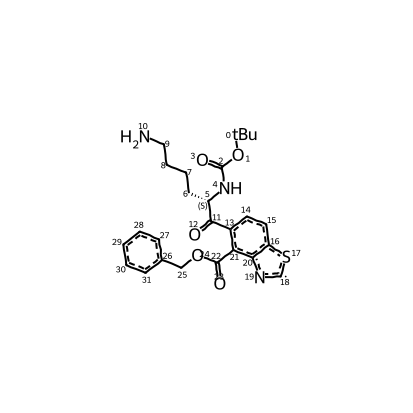 CC(C)(C)OC(=O)N[C@@H](CCCCN)C(=O)c1ccc2s[c]nc2c1C(=O)OCc1ccccc1